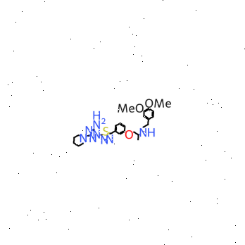 COc1ccc(CCNC(C)COc2cccc(-c3nnc(-n4nc(N5CCCCC5)nc4N)s3)c2)cc1OC